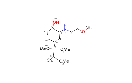 CCOCCNC1CC(C(OC)(OC)C([SiH3])OC)CCC1O